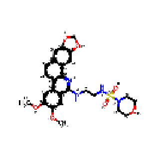 COc1cc2c(NCCNS(=O)(=O)N3CCOCC3)nc3c4cc5c(cc4ccc3c2cc1OC)OCO5